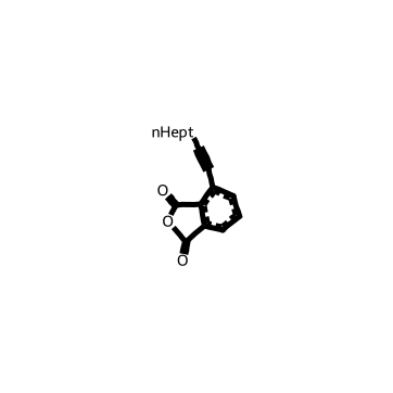 CCCCCCCC#Cc1cccc2c1C(=O)OC2=O